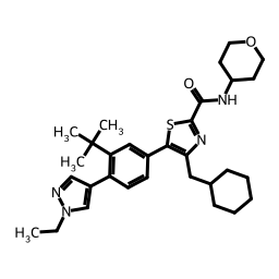 CCn1cc(-c2ccc(-c3sc(C(=O)NC4CCOCC4)nc3CC3CCCCC3)cc2C(C)(C)C)cn1